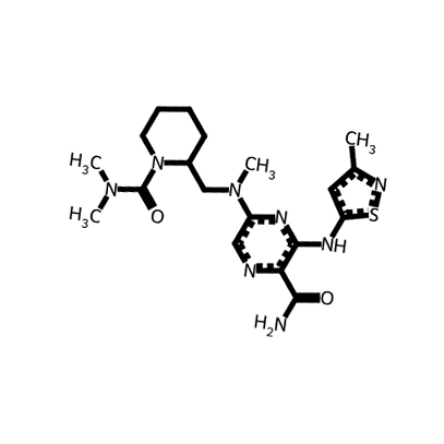 Cc1cc(Nc2nc(N(C)CC3CCCCN3C(=O)N(C)C)cnc2C(N)=O)sn1